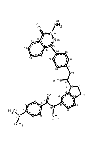 CN(C)c1ccc(C(=O)N(N)c2ccc3c(c2)N(C(=O)Cc2ccc(-c4nn(N)c(=O)c5ccccc45)cc2)CC3)cc1